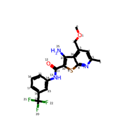 COCc1cc(C)nc2sc(C(=O)Nc3cccc(C(F)(F)F)c3)c(N)c12